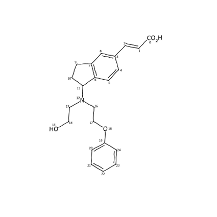 O=C(O)/C=C/c1ccc2c(c1)CCC2N(CCO)CCOc1ccccc1